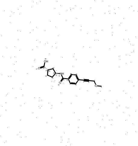 COCC#Cc1ccc(C(=O)N[C@H]2CC[C@H](C(=O)O)C2)cc1